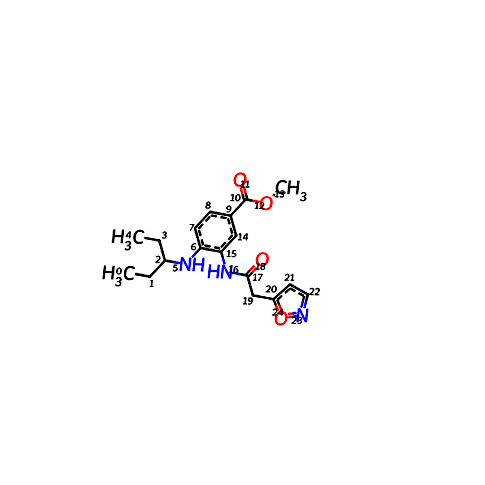 CCC(CC)Nc1ccc(C(=O)OC)cc1NC(=O)Cc1ccno1